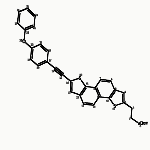 CCCCCCCCCCCCc1cc2ccc3c(ccc4cc(C#Cc5ccc(Oc6ccccc6)cc5)sc43)c2s1